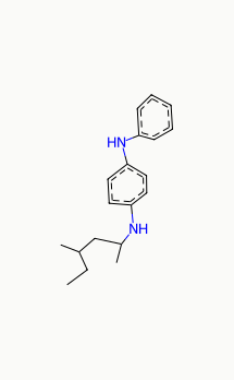 CCC(C)CC(C)Nc1ccc(Nc2ccccc2)cc1